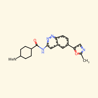 CNC1CCC(C(=O)Nc2cc3cc(-c4cnc(C)o4)ccc3nn2)CC1